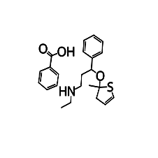 CCNCCC(OC1(C)CC=CS1)c1ccccc1.O=C(O)c1ccccc1